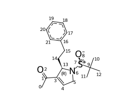 CC(=O)C1=CCN([S@@+]([O-])C(C)(C)C)[C@@H]1CCc1ccccc1